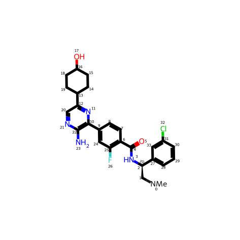 CNC[C@@H](NC(=O)c1ccc(-c2nc(C3CCC(O)CC3)cnc2N)cc1F)c1cccc(Cl)c1